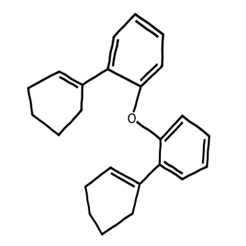 C1=C(c2ccccc2Oc2ccccc2C2=CCCCC2)CCCC1